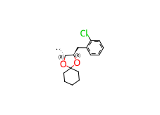 [CH2][C@H]1OC2(CCCCC2)O[C@@H]1Cc1ccccc1Cl